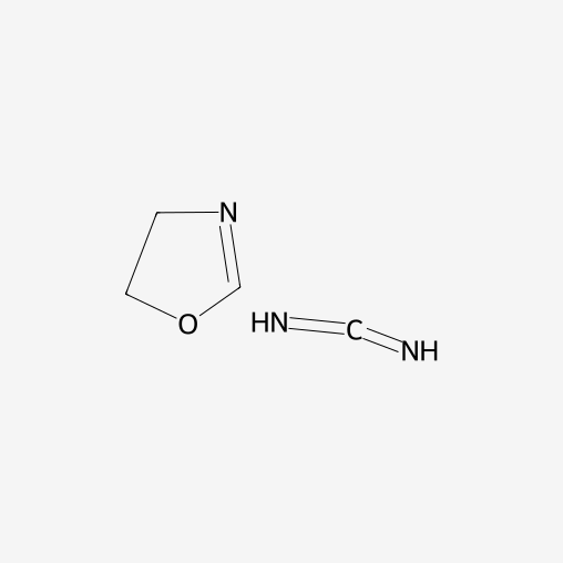 C1=NCCO1.N=C=N